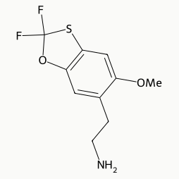 COc1cc2c(cc1CCN)OC(F)(F)S2